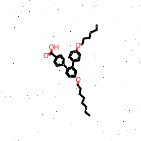 CCCCCCCCOc1ccc(-c2ccc(C(=O)O)cc2)c(-c2ccc(OCCCCCC)cc2)c1